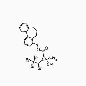 CC1(C)C(C(=O)OCc2cccc3c2CCCc2ccccc2-3)C1C(Br)C(Br)(Br)Br